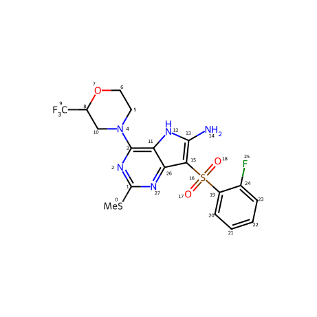 CSc1nc(N2CCOC(C(F)(F)F)C2)c2[nH]c(N)c(S(=O)(=O)c3ccccc3F)c2n1